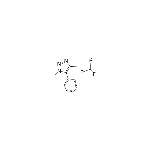 Cc1nnn(C)c1-c1ccccc1.FC(F)F